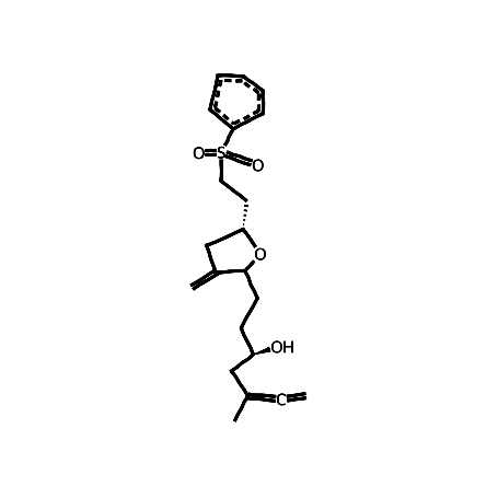 C=C=C(C)C[C@H](O)CCC1O[C@@H](CCS(=O)(=O)c2ccccc2)CC1=C